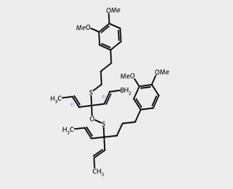 B/C=C/C(/C=C/C)(OSC(C=CC)(C=CC)CCCc1ccc(OC)c(OC)c1)SCCCc1ccc(OC)c(OC)c1